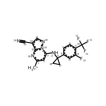 Cc1cc(NC2(c3ccc(C(F)(F)F)c(F)c3)CC2)n2ncc(C#N)c2n1